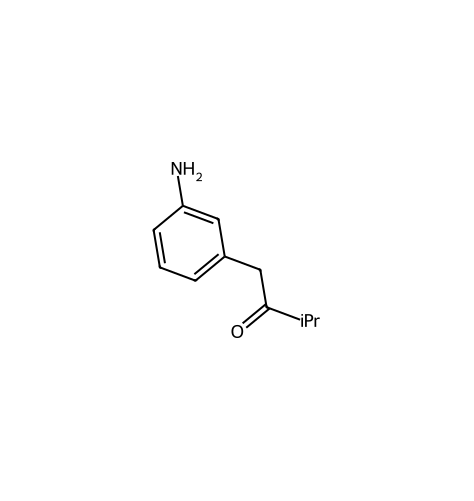 CC(C)C(=O)Cc1cccc(N)c1